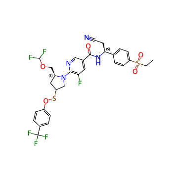 CCS(=O)(=O)c1ccc([C@H](CC#N)NC(=O)c2cnc(N3CC(SOc4ccc(C(F)(F)F)cc4)C[C@H]3COC(F)F)c(F)c2)cc1